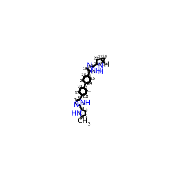 C[C@H]1CCC(c2ncc(-c3ccc(-c4ccc(-c5cnc(C6CC7C[C@@H]7N6)[nH]5)cc4)cc3)[nH]2)N1